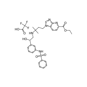 CCOC(=O)c1ccc2c(ncn2CCC(C)(C)NCC(O)c2cccc(NS(=O)(=O)c3ccccc3)c2)n1.O=C(O)C(F)(F)F